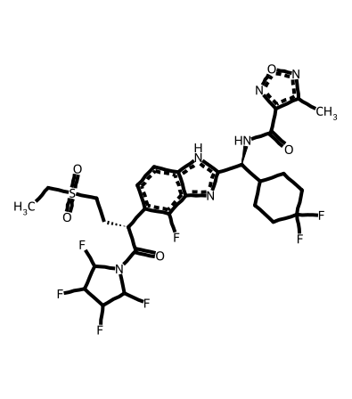 CCS(=O)(=O)CC[C@@H](C(=O)N1C(F)C(F)C(F)C1F)c1ccc2[nH]c([C@@H](NC(=O)c3nonc3C)C3CCC(F)(F)CC3)nc2c1F